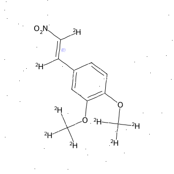 [2H]/C(=C(/[2H])[N+](=O)[O-])c1ccc(OC([2H])([2H])[2H])c(OC([2H])([2H])[2H])c1